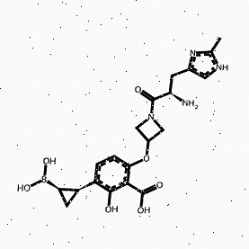 Cc1nc(C[C@@H](N)C(=O)N2CC(Oc3ccc([C@H]4C[C@H]4B(O)O)c(O)c3C(=O)O)C2)c[nH]1